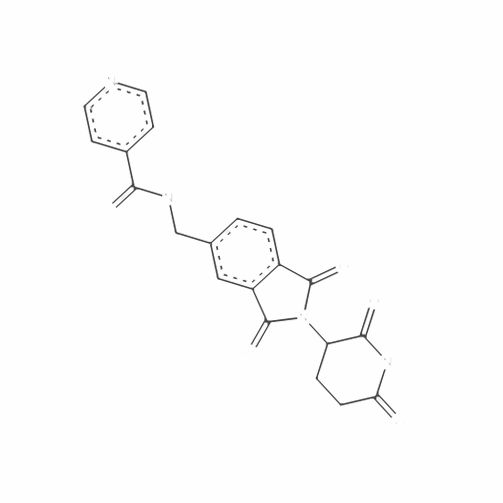 O=C1CCC(N2C(=O)c3ccc(CNC(=O)c4ccncc4)cc3C2=O)C(=O)N1